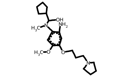 COc1cc(N(C)C(O)C2CCCC2)c(N)cc1OCCCN1CCCC1